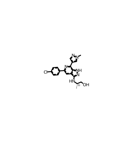 C[C@@H](CO)Nc1n[nH]c2c(-c3cnn(C)c3)nc(-c3ccc(Cl)cc3)cc12